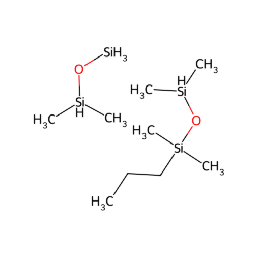 CCC[Si](C)(C)O[SiH](C)C.C[SiH](C)O[SiH3]